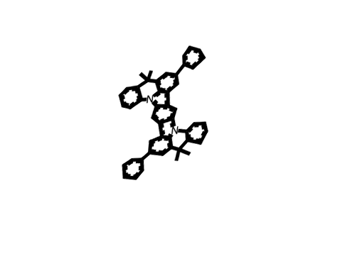 CC1(C)c2ccccc2-n2c3cc4c5cc(-c6ccccc6)cc6c5n(c4cc3c3cc(-c4ccccc4)cc1c32)-c1ccccc1C6(C)C